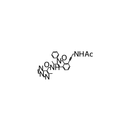 CC(=O)NCC#Cc1cccc2cc(C(C)NC(=O)c3c(C)ncn4ccnc34)n(-c3ccccc3)c(=O)c12